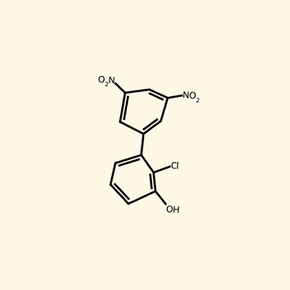 O=[N+]([O-])c1cc(-c2cccc(O)c2Cl)cc([N+](=O)[O-])c1